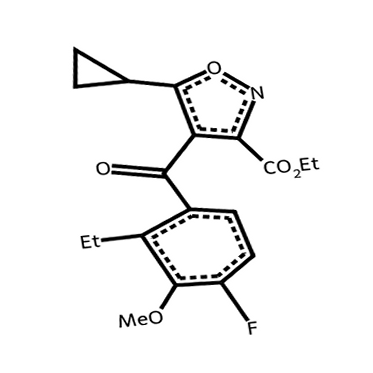 CCOC(=O)c1noc(C2CC2)c1C(=O)c1ccc(F)c(OC)c1CC